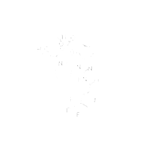 C=CC(=O)N1CCCCC(n2c(NC(=O)c3cccc(C(F)(F)F)c3)nc3cccc(OC(=O)OC)c32)C1